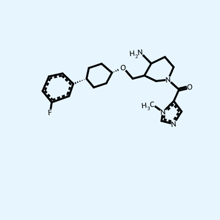 Cn1cncc1C(=O)N1CCC(N)C(CO[C@H]2CC[C@@H](c3cccc(F)c3)CC2)C1